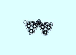 COc1cc(-c2cccnc2-c2ccc(CS(=O)(=O)Cc3ccc(-c4ncccc4-c4ccc(Cl)c(OC)c4)cc3F)c(F)c2)ccc1Cl